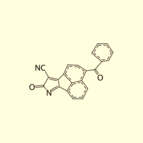 N#CC1=C2C(=NC1=O)c1cccc3c(C(=O)c4ccccc4)ccc2c13